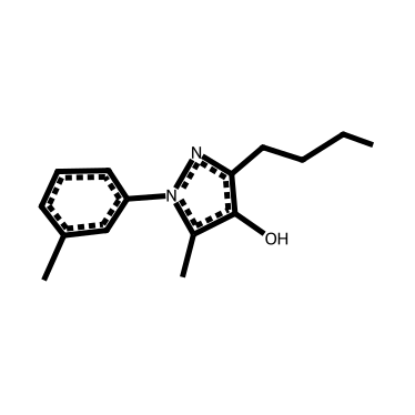 CCCCc1nn(-c2cccc(C)c2)c(C)c1O